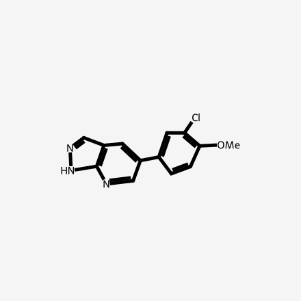 COc1ccc(-c2cnc3[nH]ncc3c2)cc1Cl